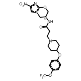 O=C(CCN1CCC(Oc2ccc(OC(F)(F)F)cc2)CC1)N[C@@H]1COc2nc([N+](=O)[O-])cn2C1